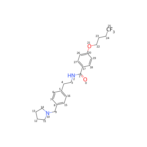 O=C(NCCc1ccc(CN2CCCC2)cc1)c1ccc(OCCCC(F)(F)F)cc1